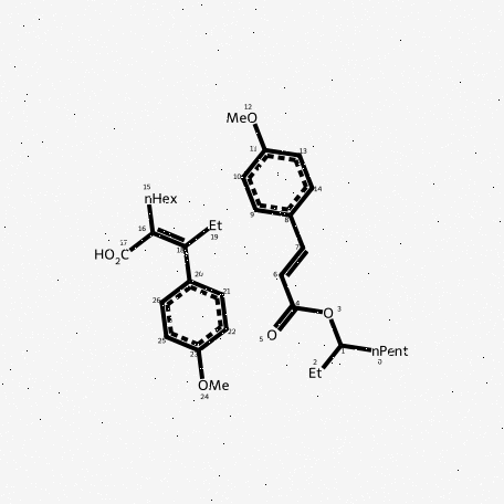 CCCCCC(CC)OC(=O)C=Cc1ccc(OC)cc1.CCCCCCC(C(=O)O)=C(CC)c1ccc(OC)cc1